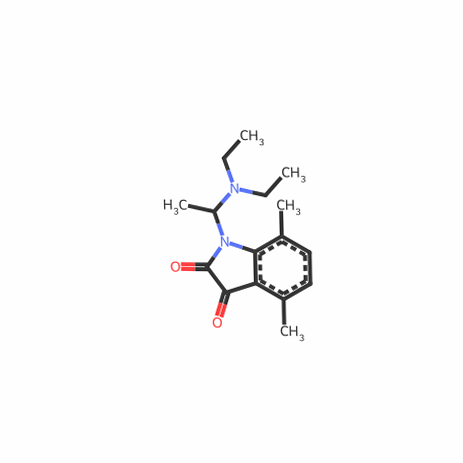 CCN(CC)C(C)N1C(=O)C(=O)c2c(C)ccc(C)c21